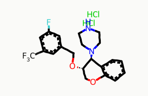 Cl.Cl.Fc1cc(CO[C@H]2COc3ccccc3[C@@H]2N2CCNCC2)cc(C(F)(F)F)c1